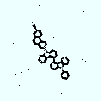 N#Cc1ccc2c(ccc3cc(-n4c5ccccc5c5c(-c6cccc7c6c6ccccc6n7-c6ccccc6)cccc54)ccc32)c1